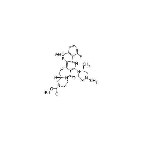 COc1cccc(F)c1-c1nc(N2CCN(C)C[C@@H]2C)c2c(c1F)OC[C@H]1CN(C(=O)OC(C)(C)C)CCN1C2=O